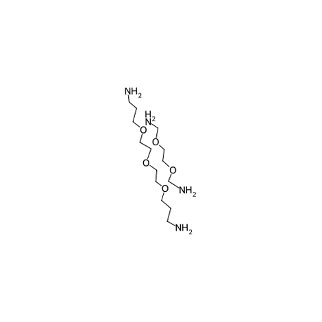 NCCCOCCOCCOCCCN.NCOCCOCN